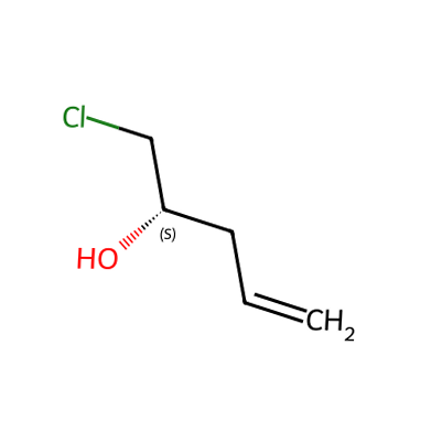 C=CC[C@H](O)CCl